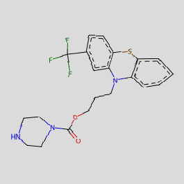 O=C(OCCCN1c2ccccc2Sc2ccc(C(F)(F)F)cc21)N1CCNCC1